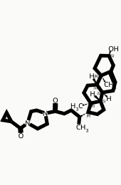 CC(CCC(=O)N1CCN(C(=O)C2CC2)CC1)[C@H]1CC[C@H]2[C@@H]3CC=C4C[C@@H](O)CC[C@]4(C)[C@H]3CC[C@]12C